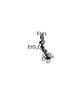 CCOC(=O)c1sc(N2CC[C@@H](NC(=O)c3[nH]c(C)c(Cl)c3Cl)[C@@H](C)C2)nc1-c1cnc(N2CCN(C(CC)CC)CC2)cn1